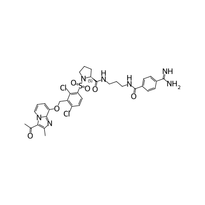 CC(=O)c1c(C)nc2c(OCc3c(Cl)ccc(S(=O)(=O)N4CCC[C@H]4C(=O)NCCCNC(=O)c4ccc(C(=N)N)cc4)c3Cl)cccn12